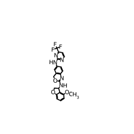 COc1cccc2c1C(NC1=Nc3ccc(Nc4nccc(C(F)(F)F)n4)cc3CO1)CO2